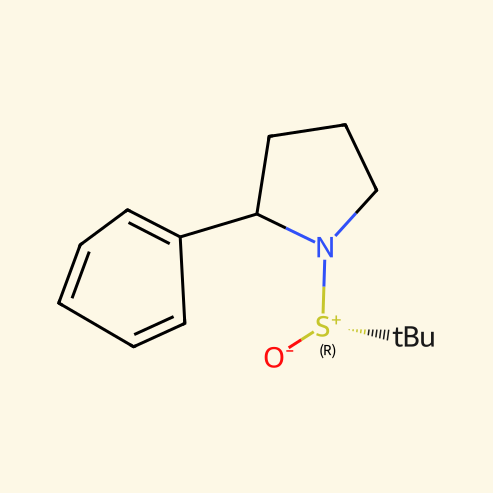 CC(C)(C)[S@+]([O-])N1CCCC1c1ccccc1